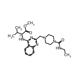 CCNC(=O)N1CCN(Cc2nc(N[C@H](C(=O)OC)C(C)C)c3ccccc3n2)CC1